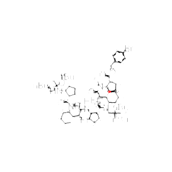 CCCCOC(C)(N[C@H]1CCC[C@@H]1C(=O)N[C@H]1CCCC[C@H]1[C@H](CC)C(=O)N[C@H]1CCC[C@@H]1C(=O)N(CC(C)(CCCC)CCCC)[C@H]1CCCC[C@H]1[C@@H](CC)C(=O)N(C)[C@H]1CCC[C@@H]1C(=O)OCc1ccc(Br)cc1)OC(C)(C)C